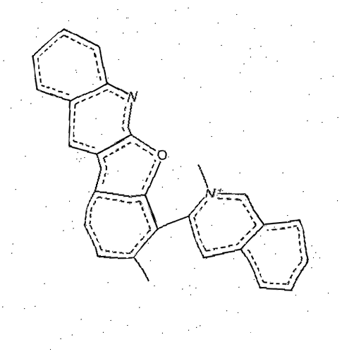 Cc1ccc2c(oc3nc4ccccc4cc32)c1-c1cc2ccccc2c[n+]1C